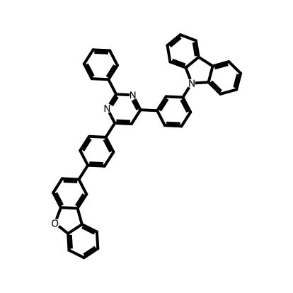 c1ccc(-c2nc(-c3ccc(-c4ccc5oc6ccccc6c5c4)cc3)cc(-c3cccc(-n4c5ccccc5c5ccccc54)c3)n2)cc1